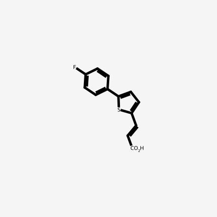 O=C(O)C=Cc1ccc(-c2ccc(F)cc2)s1